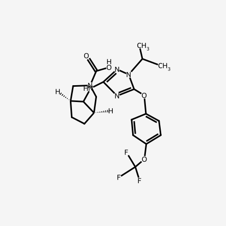 CC(C)n1nc(NC2[C@@H]3CC[C@H]2CN(C(=O)O)C3)nc1Oc1ccc(OC(F)(F)F)cc1